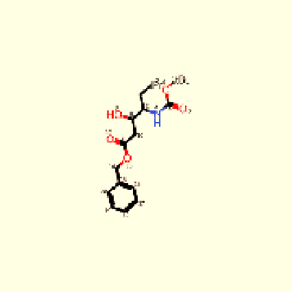 CC(C)CC(NC(=O)OC(C)(C)C)C(O)CC(=O)OCc1ccccc1